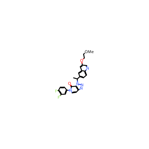 COCCOc1cnc2ccc(C(C)n3nnc4ccn(-c5ccc(F)c(F)c5)c(=O)c43)cc2c1